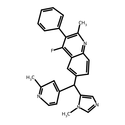 Cc1cc(C(c2ccc3nc(C)c(-c4ccccc4)c(F)c3c2)c2cncn2C)ccn1